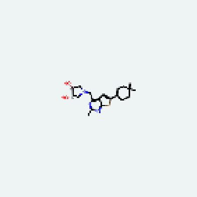 Cc1nc(CN2C[C@H](O)[C@@H](O)C2)c2cc(C3CCC(C)(C)CC3)sc2n1